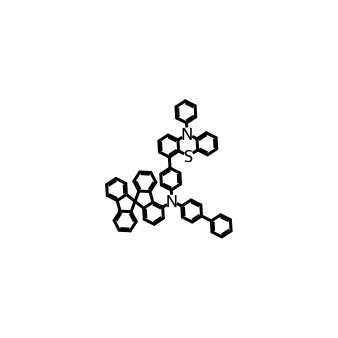 c1ccc(-c2ccc(N(c3ccc(-c4cccc5c4Sc4ccccc4N5c4ccccc4)cc3)c3cccc4c3-c3ccccc3C43c4ccccc4-c4ccccc43)cc2)cc1